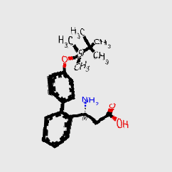 CC(C)(C)[Si](C)(C)Oc1ccc(-c2ccccc2[C@H](N)CC(=O)O)cc1